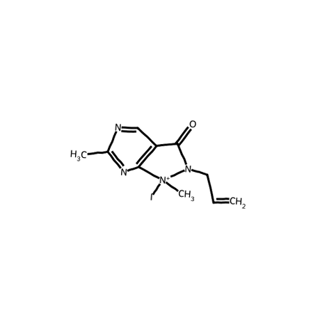 C=CCN1C(=O)c2cnc(C)nc2[N+]1(C)I